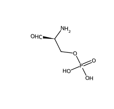 N[C@H](C=O)COP(=O)(O)O